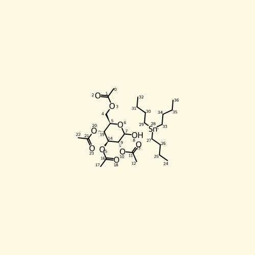 CC(=O)OC[C@H]1OC(O)[C@H](OC(C)=O)[C@@H](OC(C)=O)[C@@H]1OC(C)=O.CCC[CH2][Sn]([CH2]CCC)[CH2]CCC